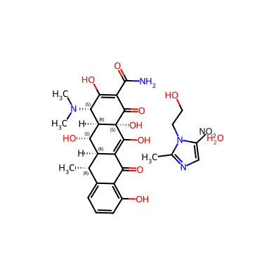 C[C@H]1c2cccc(O)c2C(=O)C2=C(O)[C@]3(O)C(=O)C(C(N)=O)=C(O)[C@@H](N(C)C)[C@@H]3[C@@H](O)[C@@H]21.Cc1ncc([N+](=O)[O-])n1CCO.O